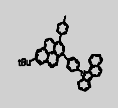 Cc1ccc(-c2cc(-c3ccc(-n4c5ccccc5c5ccc6ccccc6c54)cc3)c3ccc4cc(C(C)(C)C)cc5ccc2c3c54)cc1